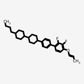 C/C=C/Oc1ccc(-c2ccc(C3CCC(C4CCC(CCCC)CC4)CC3)cc2)c(F)c1F